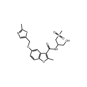 Cc1ncc(COc2ccc3oc(C)c(C(=O)NC(CO)CS(C)(=O)=O)c3c2)s1